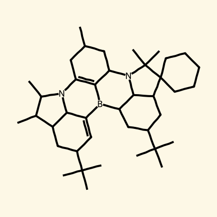 CC1CC2=C3B(C4=CC(C(C)(C)C)CC5C(C)C(C)N2C45)C2CC(C(C)(C)C)CC4C2N(C3C1)C(C)(C)C41CCCCC1